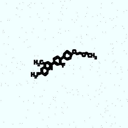 CCOCCOc1ccc(-c2ccc(-c3cc(C)c4cc(P)ccc4n3)cc2F)cc1